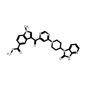 COC(=O)c1ccc2c(c1)c(C(=O)c1cc(N3CCC(n4c(=O)[nH]c5ncccc54)CC3)ncn1)cn2C